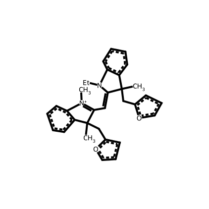 CCN1C(=CC2=[N+](C)c3ccccc3C2(C)Cc2ccco2)C(C)(Cc2ccco2)c2ccccc21